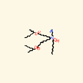 CCCCCCCCC(O)N(CCCN(C)C)C(CCCCCCCCC(=O)OCC(CCCC)CCCCCC)CCCCCCCCC(=O)OCC(CCCC)CCCCCC